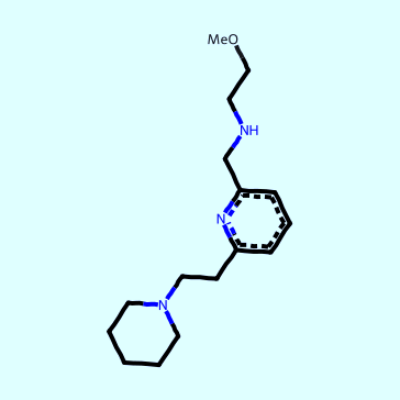 COCCNCc1cccc(CCN2CCCCC2)n1